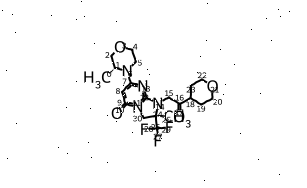 C[C@@H]1COCCN1c1cc(=O)n2c(n1)N(CC(=O)C1CCOCC1)[C@](C)(C(F)(F)F)C2